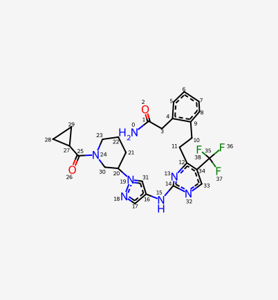 NC(=O)Cc1ccccc1CCc1nc(Nc2cnn(C3CCCN(C(=O)C4CC4)C3)c2)ncc1C(F)(F)F